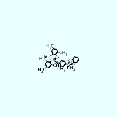 Cc1cc(C)c(OB(Oc2ccc([N+](C)(C)Cc3ccccc3)cc2C)Oc2c(C)cc(C)cc2C)c(C)c1